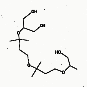 CC(CO)OCCC(C)(C)OCCC(C)(C)OC(CO)CO